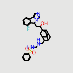 O=S(=O)(NCNCC1C2CC3CC1CC(C(O)CC1c4c(F)cccc4-c4cncn41)(C3)C2)c1ccccc1